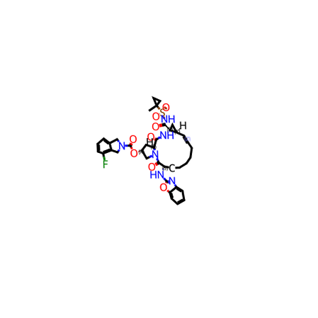 CC1(S(=O)(=O)NC(=O)[C@@]23C[C@H]2/C=C\CCCCC[C@H](Nc2nc4ccccc4o2)C(=O)N2C[C@H](OC(=O)N4Cc5cccc(F)c5C4)C[C@H]2C(=O)N3)CC1